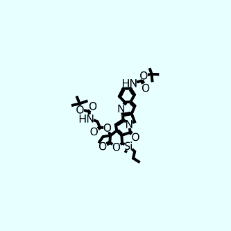 CCC[Si](C)(C)C1OC(=O)C(CC)(OC(=O)CNC(=O)OC(C)(C)C)c2cc3n(c(=O)c21)Cc1cc2cc(NC(=O)OC(C)(C)C)ccc2nc1-3